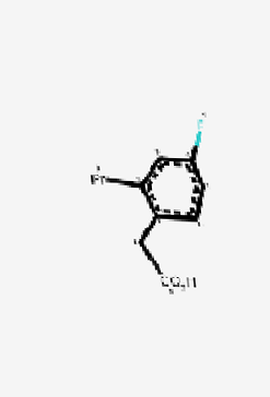 CC(C)c1cc(F)ccc1CC(=O)O